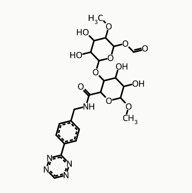 COC1OC(C(=O)NCc2ccc(-c3nncnn3)cc2)C(OC2OC(OC=O)C(OC)C(O)C2O)C(O)C1O